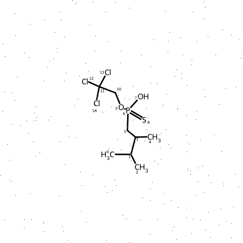 CC(C)C(C)CP(O)(=S)OCC(Cl)(Cl)Cl